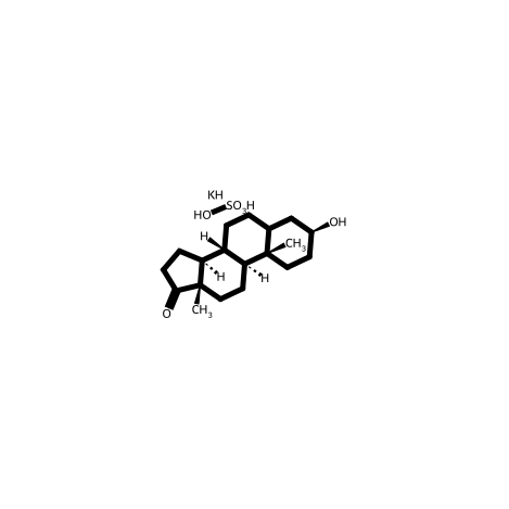 C[C@]12CC[C@H](O)CC1CC[C@@H]1[C@@H]2CC[C@]2(C)C(=O)CC[C@@H]12.O=S(=O)(O)O.[KH]